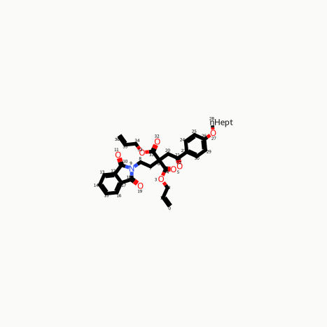 C=CCOC(=O)C(CCN1C(=O)c2ccccc2C1=O)(CC(=O)c1ccc(OCCCCCCC)cc1)C(=O)OCC=C